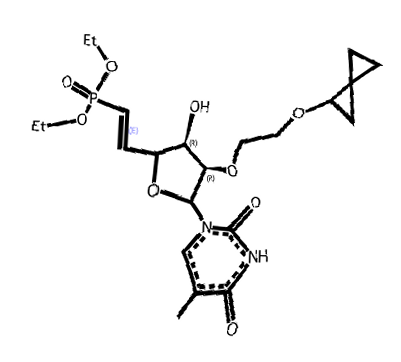 CCOP(=O)(/C=C/C1OC(n2cc(C)c(=O)[nH]c2=O)[C@H](OCCOC2CC23CC3)[C@@H]1O)OCC